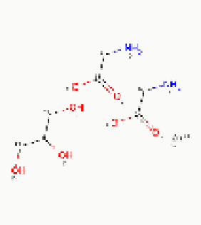 NCC(=O)[O-].NCC(=O)[O-].OCC(O)CO.[Zn+2]